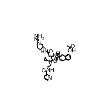 CC(=O)O.NN=CN1CCC[C@@H](CNC(=O)C[C@H](NS(=O)(=O)c2ccc3ccccc3c2)C(=O)N(CCNC(=O)c2cccnc2)C2CC2)C1